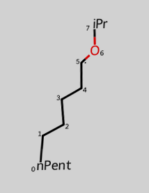 CCCCCCCCC[CH]OC(C)C